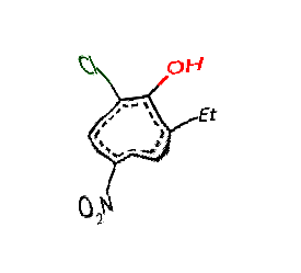 CCc1cc([N+](=O)[O-])cc(Cl)c1O